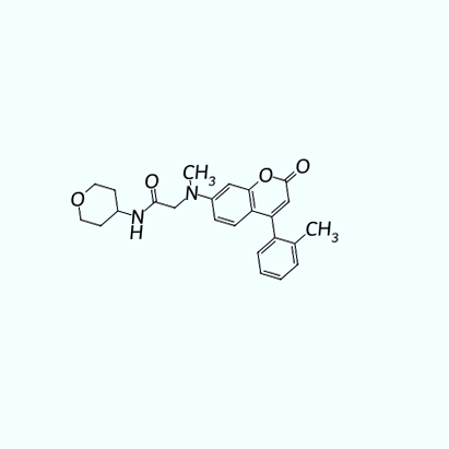 Cc1ccccc1-c1cc(=O)oc2cc(N(C)CC(=O)NC3CCOCC3)ccc12